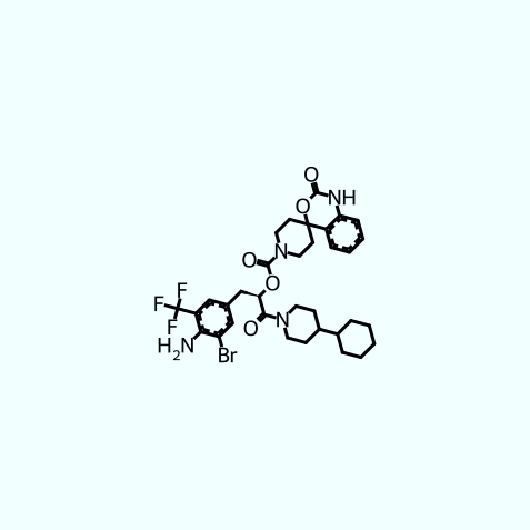 Nc1c(Br)cc(C[C@@H](OC(=O)N2CCC3(CC2)OC(=O)Nc2ccccc23)C(=O)N2CCC(C3CCCCC3)CC2)cc1C(F)(F)F